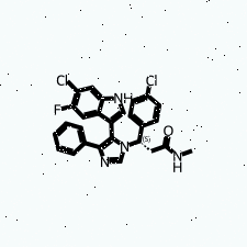 CNC(=O)C[C@@H](c1ccc(Cl)cc1)n1cnc(-c2ccccc2)c1-c1c[nH]c2cc(Cl)c(F)cc12